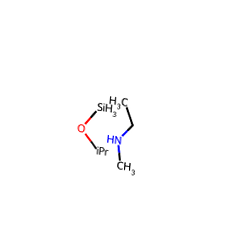 CC(C)O[SiH3].CCNC